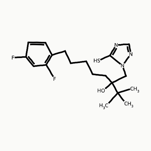 CC(C)(C)C(O)(CCCCCc1ccc(F)cc1F)Cn1ncnc1S